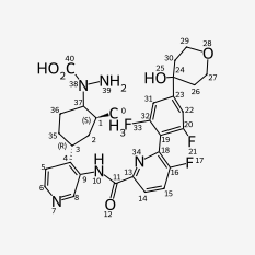 C[C@H]1C[C@H](c2ccncc2NC(=O)c2ccc(F)c(-c3c(F)cc(C4(O)CCOCC4)cc3F)n2)CCC1N(N)C(=O)O